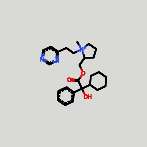 C[N+]1(CCc2ccncn2)CCCC1COC(=O)C(O)(c1ccccc1)C1CCCCC1